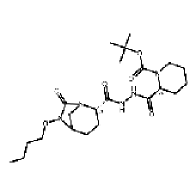 CCCCON1C(=O)N2CC1CC[C@H]2C(=O)NNC(=O)[C@@H]1CCCCN1C(=O)OC(C)(C)C